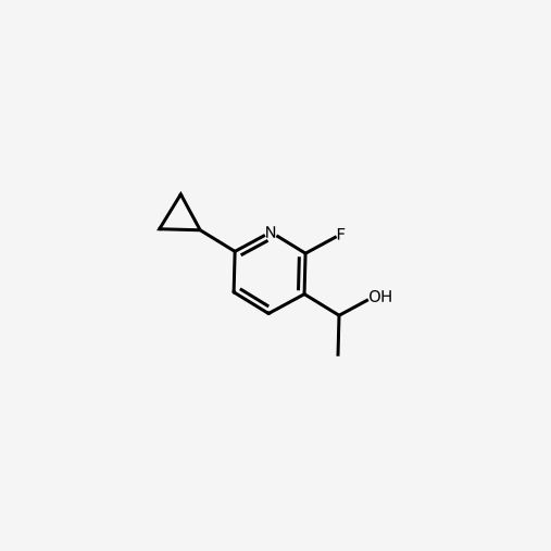 CC(O)c1ccc(C2CC2)nc1F